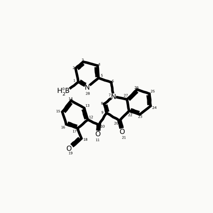 Bc1cccc(Cn2cc(C(=O)c3ccccc3C=O)c(=O)c3ccccc32)n1